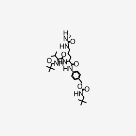 CC(C)C(NC(=O)C(C)(C)C)C(=O)NC(CCCNC(N)=O)C(=O)Nc1ccc(COC(=O)NCC(C)(C)C)cc1